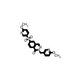 COc1ccc(Cn2ncc3cc(S(=O)(=O)c4ccc(OC)nc4)ccc3c2=O)cn1